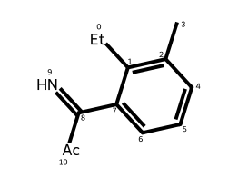 CCc1c(C)cccc1C(=N)C(C)=O